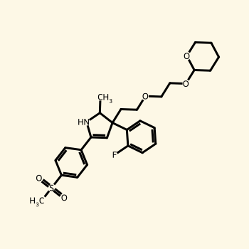 CC1NC(c2ccc(S(C)(=O)=O)cc2)=CC1(CCOCCOC1CCCCO1)c1ccccc1F